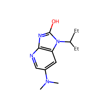 CCC(CC)n1c(O)nc2ncc(N(C)C)cc21